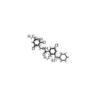 CCN(c1cc(Cl)cc(C(=O)NCc2c(Cl)[nH]c(C)cc2=O)c1C)C1CCCCC1